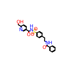 O=C(NCCc1ccc(S(=O)(=O)NC(=O)c2ccc(CO)nc2)cc1)c1ccccc1